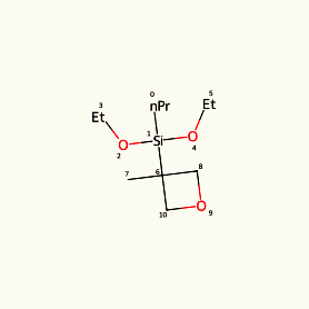 CCC[Si](OCC)(OCC)C1(C)COC1